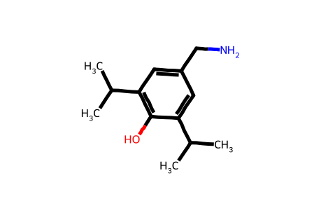 CC(C)c1cc(CN)cc(C(C)C)c1O